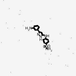 Nc1cccc(-c2cc(Nc3ccc(S(N)(=O)=O)cc3)[nH]n2)c1